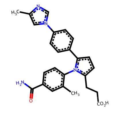 Cc1cn(-c2ccc(-c3ccc(CCC(=O)O)n3-c3ccc(C(N)=O)cc3C)cc2)cn1